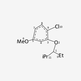 [CH2]CC(Oc1cc(OC)ccc1Cl)C(C)C